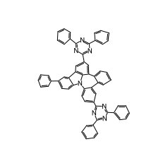 c1ccc(-c2ccc3c(c2)c2cc(-c4nc(-c5ccccc5)nc(-c5ccccc5)n4)cc4c2n3-c2ccc(-c3nc(-c5ccccc5)nc(-c5ccccc5)n3)cc2-c2ccccc2-4)cc1